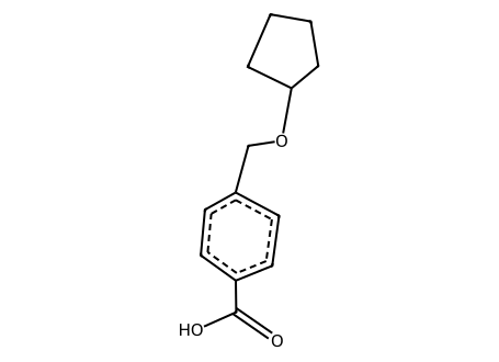 O=C(O)c1ccc(COC2CCCC2)cc1